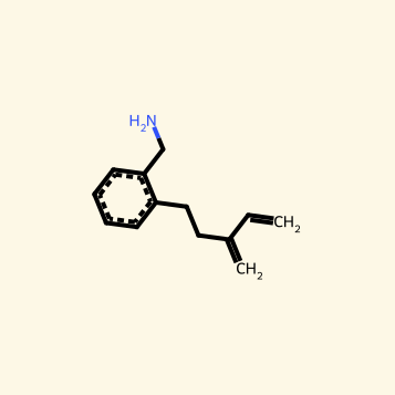 C=CC(=C)CCc1ccccc1CN